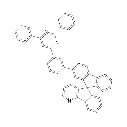 c1ccc(-c2cc(-c3cccc(-c4ccc5c(c4)C4(c6ccccc6-5)c5ccncc5-c5ncccc54)c3)nc(-c3ccccc3)n2)cc1